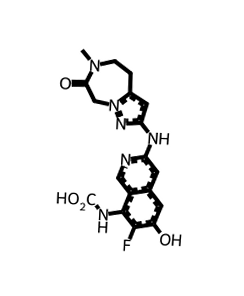 CN1CCc2cc(Nc3cc4cc(O)c(F)c(NC(=O)O)c4cn3)nn2CC1=O